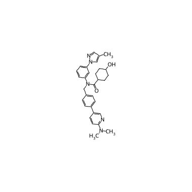 Cc1cnn(-c2cccc(N(Cc3ccc(-c4ccc(N(C)C)nc4)cc3)C(=O)C3CCC(O)CC3)c2)c1